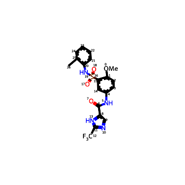 COc1ccc(NC(=O)c2cnc(C(F)(F)F)[nH]2)cc1S(=O)(=O)Nc1ccccc1C